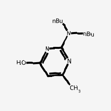 CCCCN(CCCC)c1nc(C)cc(O)n1